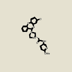 COc1ccc(NC(=O)C[C@H]2CN(C3=Nc4cc(Cl)ccc4Oc4ccccc43)CCN2)cn1